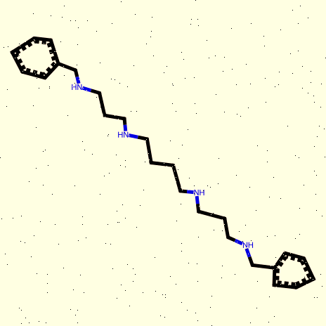 c1ccc(CNCCCNCCCCNCCCNCc2ccccc2)cc1